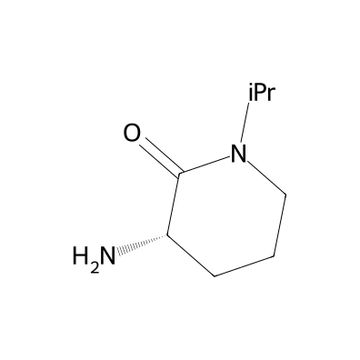 CC(C)N1CCC[C@H](N)C1=O